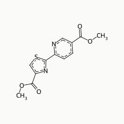 COC(=O)c1ccc(-c2nc(C(=O)OC)cs2)nc1